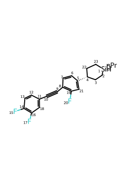 CCC[Si@H]1CC[C@H](c2ccc(C#Cc3ccc(F)c(F)c3)c(F)c2)CC1